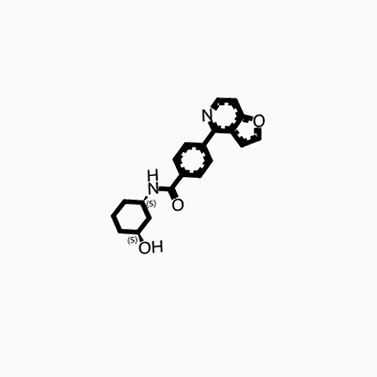 O=C(N[C@H]1CCC[C@H](O)C1)c1ccc(-c2nccc3occc23)cc1